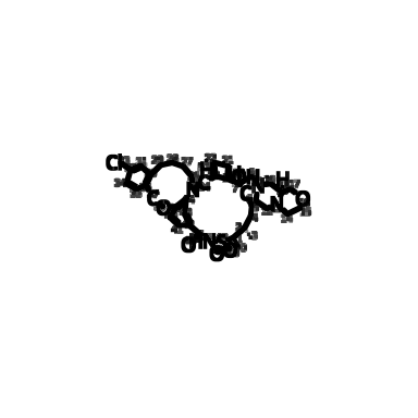 C[C@@H]1[C@@H](C)CCC[C@@](O)(CN2CCN3CCOC[C@@H]3C2)[C@@H]2CC[C@H]2CN2CCCCc3cc(Cl)ccc3COc3ccc(cc32)C(=O)NS1(=O)=O